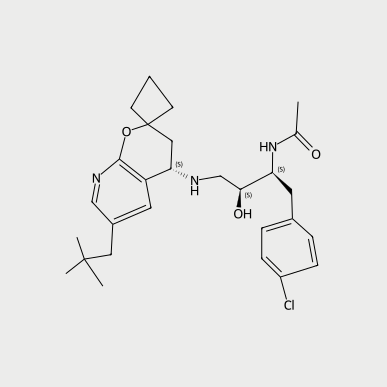 CC(=O)N[C@@H](Cc1ccc(Cl)cc1)[C@@H](O)CN[C@H]1CC2(CCC2)Oc2ncc(CC(C)(C)C)cc21